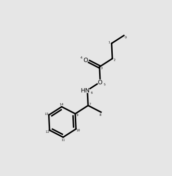 CCCC(=O)ONC(C)c1ccccc1